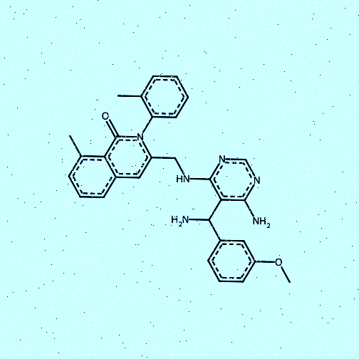 COc1cccc(C(N)c2c(N)ncnc2NCc2cc3cccc(C)c3c(=O)n2-c2ccccc2C)c1